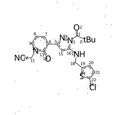 CC(C)(C)C(=O)n1nc(-c2cccn(CC#N)c2=O)cc1NCc1ccc(Cl)s1